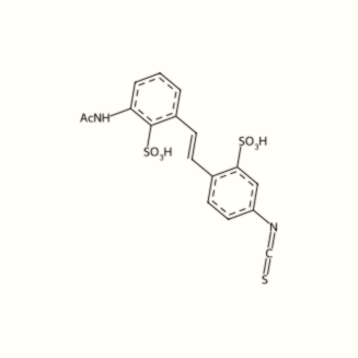 CC(=O)Nc1cccc(C=Cc2ccc(N=C=S)cc2S(=O)(=O)O)c1S(=O)(=O)O